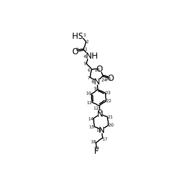 O=C(CS)NCC1CN(c2ccc(N3CCN(CCF)CC3)cc2)C(=O)O1